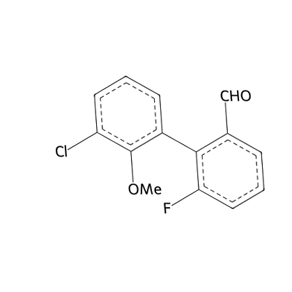 COc1c(Cl)cccc1-c1c(F)cccc1C=O